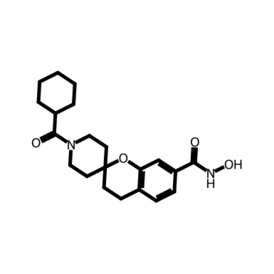 O=C(NO)c1ccc2c(c1)OC1(CC2)CCN(C(=O)C2CCCCC2)CC1